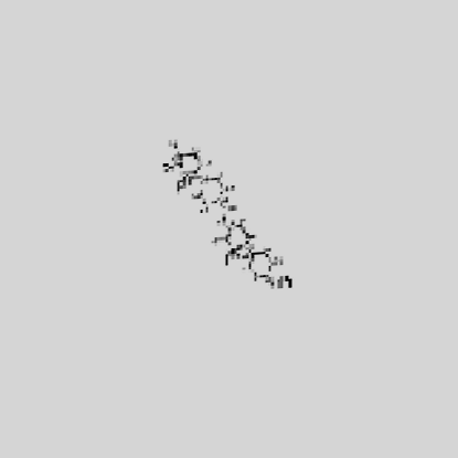 CCCC1CC=C(c2ccc(CCC3CCC(c4ccc(C)c(F)c4F)CC3)c(F)c2F)CC1